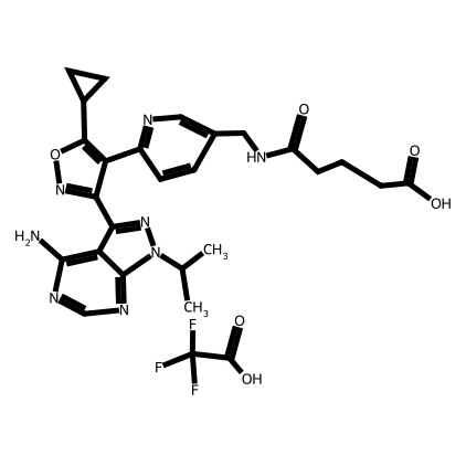 CC(C)n1nc(-c2noc(C3CC3)c2-c2ccc(CNC(=O)CCCC(=O)O)cn2)c2c(N)ncnc21.O=C(O)C(F)(F)F